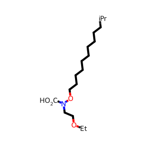 CCOCCN(OCCCCCCCCCCC(C)C)C(=O)O